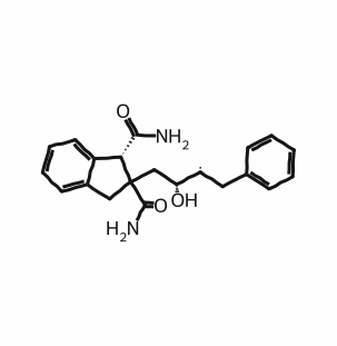 NC(=O)[C@H]1c2ccccc2CC1(C[C@@H](O)[CH]Cc1ccccc1)C(N)=O